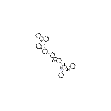 N=C(/N=C(\N=C\c1ccccc1)c1ccc2c(c1)oc1cc(-c3ccc4c(c3)sc3c(-n5c6ccccc6c6ccccc65)cccc34)ccc12)c1ccccc1